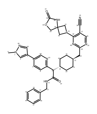 Cn1cc(-c2ccc(C(C(=O)NCc3ccccc3)[C@H]3CC[C@H](Cc4ncc(C#N)c(N5CC6(COC(=O)N6)C5)n4)CC3)nc2)cn1